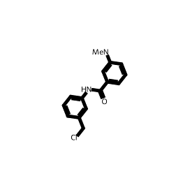 CNc1cccc(C(=O)Nc2cccc(CCl)c2)c1